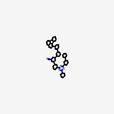 N#Cc1cc(-c2cccc(-c3cccc(-c4ccc5cccc6c5c4-c4ccccc4-6)c3)c2)cc(-c2cccc(-c3nc(-c4ccccc4)nc(-c4cccc(-c5ccccc5)c4)n3)c2)c1